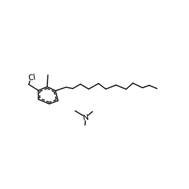 CCCCCCCCCCCCc1cccc(CCl)c1C.CN(C)C